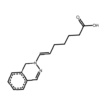 O=C(O)CCCCC=CN1Cc2ccccc2C=N1